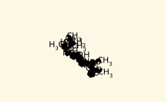 COC[C@H]1C[C@@H](c2nc3ccc4cc5c(cc4c3[nH]2)OCc2cc(-c3cnc([C@@H]4C[C@@H](C)[C@@H](C)N4C(=O)C(NC(=O)OC)C(C)C)[nH]3)ccc2-5)N(C(=O)[C@H](NC(=O)OC)c2ccccc2)C1